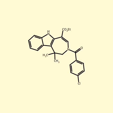 CCOC(=O)C1=CN(C(=O)c2ccc(Cl)cc2)CC(C)(C)c2c1[nH]c1ccccc21